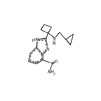 NC(=O)c1cccc2[nH]c(C3(NCC4CC4)CCC3)nc12